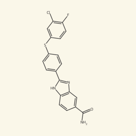 NC(=O)c1ccc2[nH]c(-c3ccc(Sc4ccc(F)c(Cl)c4)cc3)nc2c1